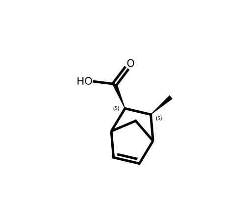 C[C@H]1C2C=CC(C2)[C@H]1C(=O)O